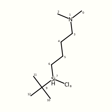 CN(C)CCCC[SiH](Cl)C(C)(C)C